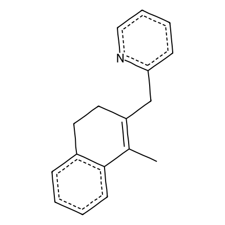 CC1=C(Cc2ccccn2)CCc2ccccc21